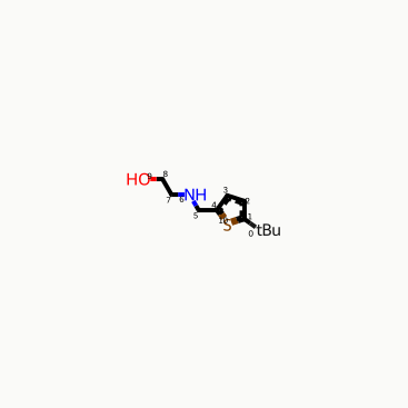 CC(C)(C)c1ccc(CNCCO)s1